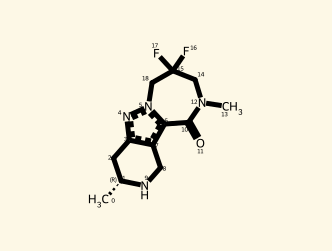 C[C@@H]1Cc2nn3c(c2CN1)C(=O)N(C)CC(F)(F)C3